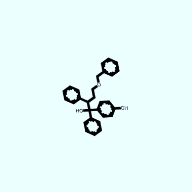 Oc1ccc(C(O)(c2ccccc2)C(CCOCc2ccccc2)c2ccccc2)cc1